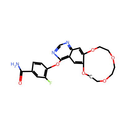 NC(=O)c1ccc(Oc2ncnc3cc4c(cc23)OCCOCCOCCO4)c(F)c1